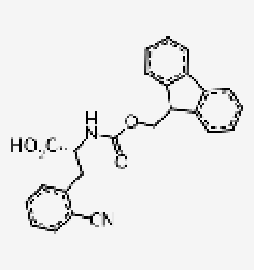 N#Cc1ccccc1C[C@@H](NC(=O)OCC1c2ccccc2-c2ccccc21)C(=O)O